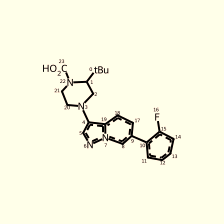 CC(C)(C)C1CN(c2cnn3cc(-c4ccccc4F)ccc23)CCN1C(=O)O